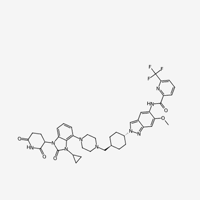 COc1cc2nn([C@H]3CC[C@H](CN4CCN(c5cccc6c5n(C5CC5)c(=O)n6C5CCC(=O)NC5=O)CC4)CC3)cc2cc1NC(=O)c1cccc(C(F)(F)F)n1